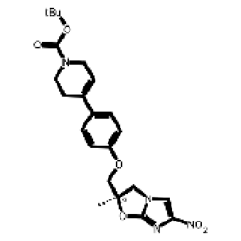 CC(C)(C)OC(=O)N1CC=C(c2ccc(OC[C@@]3(C)Cn4cc([N+](=O)[O-])nc4O3)cc2)CC1